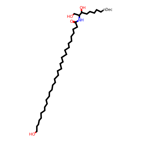 CCCCCCCCCCCCCCCC(O)C(CO)NC(=O)CCCCCCCCCCCCCCCCCCCCCCCCCCCCCCCO